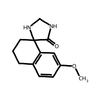 COc1ccc2c(c1)C1(CCC2)NCNC1=O